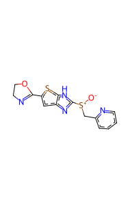 [O-][S+](Cc1ccccn1)c1nc2cc(C3=NCCO3)sc2[nH]1